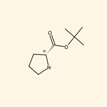 CC(C)(C)OC(=O)[C@H]1CCC[N]1